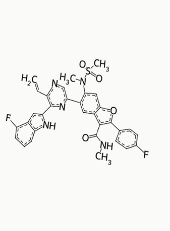 C=Cc1ncc(-c2cc3c(C(=O)NC)c(-c4ccc(F)cc4)oc3cc2N(C)S(C)(=O)=O)nc1-c1cc2c(F)cccc2[nH]1